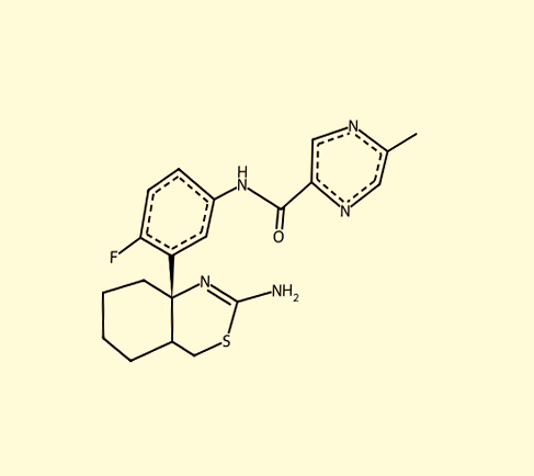 Cc1cnc(C(=O)Nc2ccc(F)c([C@]34CCCCC3CSC(N)=N4)c2)cn1